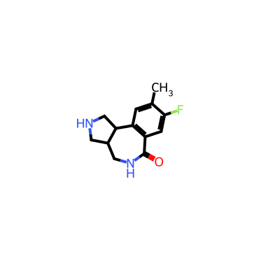 Cc1cc2c(cc1F)C(=O)NCC1CNCC21